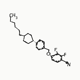 CCCCCC[C@H]1CC[C@H](c2ccc(COc3ccc(C#N)c(F)c3F)cc2)CC1